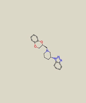 c1ccc2c(c1)OC[C@H](CN1CCC[C@H](n3nnc4ccccc43)C1)O2